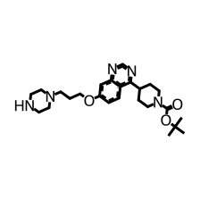 CC(C)(C)OC(=O)N1CCC(c2ncnc3cc(OCCCN4CCNCC4)ccc23)CC1